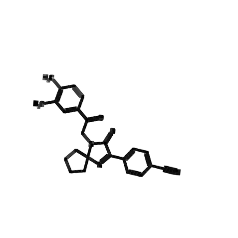 Cc1ccc(C(=O)CN2C(=O)C(c3ccc(C#N)cc3)=NC23CCCC3)cc1C